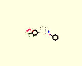 O=P([O-])([O-])C(F)(F)c1ccc(CSc2nnc(-c3ccccc3)o2)cc1Br.[Na+].[Na+]